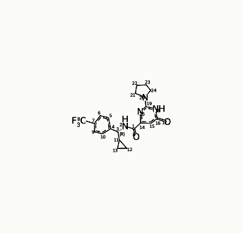 O=C(N[C@@H](c1ccc(C(F)(F)F)cc1)C1CC1)c1cc(=O)[nH]c(N2CCCC2)n1